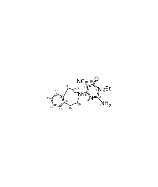 CCn1c(N)nc(N2CCc3ccccc3CC2)c(C#N)c1=O